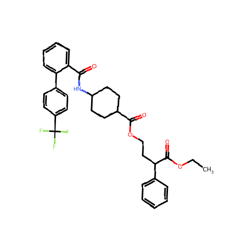 CCOC(=O)C(CCOC(=O)C1CCC(NC(=O)c2ccccc2-c2ccc(C(F)(F)F)cc2)CC1)c1ccccc1